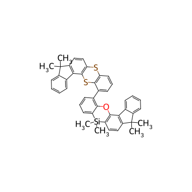 CC1(C)c2ccccc2-c2c1ccc1c2Oc2c(-c3cccc4c3Sc3c(ccc5c3-c3ccccc3C5(C)C)S4)cccc2[Si]1(C)C